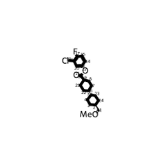 COC[C@H]1CC[C@H](C2CCC(C(=O)Oc3ccc(F)c(Cl)c3)CC2)CC1